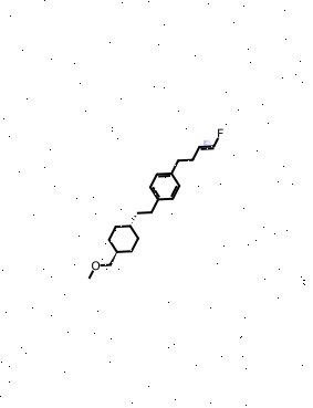 COC[C@H]1CC[C@H](CCc2ccc(CC/C=C/F)cc2)CC1